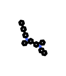 C1=C(C2=CC=C(n3c4ccccc4c4cc(-c5ccc6c(c5)c5ccccc5n6-c5ccc6ccccc6c5)ccc43)CC2)CCC(c2ccccc2)=C1